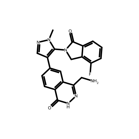 Cn1ncc(-c2ccc3c(=O)[nH]nc(CN)c3c2)c1N1Cc2c(F)cccc2C1=O